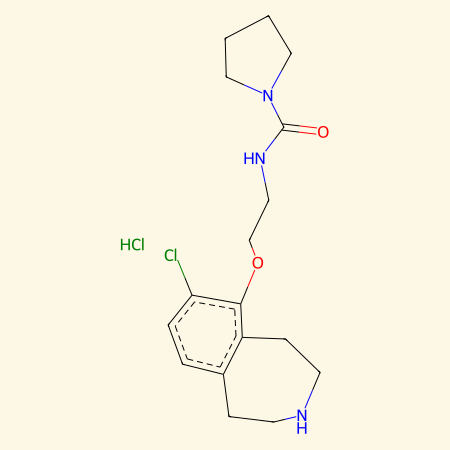 Cl.O=C(NCCOc1c(Cl)ccc2c1CCNCC2)N1CCCC1